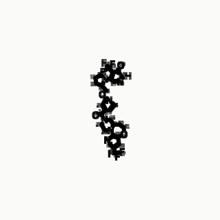 O=C(c1ccnc(OCC2CCCN2c2cn[nH]c(=O)c2C(F)(F)F)c1)N1CCN2c3ncc(C(F)(F)F)cc3OCCC2C1